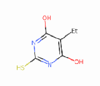 CCc1c(O)nc(S)nc1O